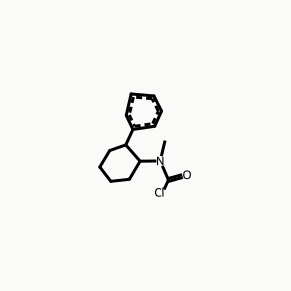 CN(C(=O)Cl)C1CCCCC1c1ccccc1